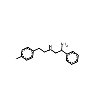 NC(CNCCc1ccc(F)cc1)c1ccccc1